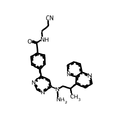 CC(CN(N)c1cc(-c2ccc(C(=O)NCCC#N)cc2)ncn1)c1ccnc2cccnc12